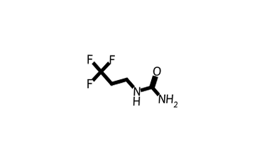 NC(=O)NCCC(F)(F)F